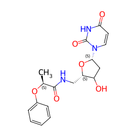 C[C@H](Oc1ccccc1)C(=O)NC[C@@H]1O[C@H](n2ccc(=O)[nH]c2=O)CC1O